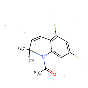 CC1(C)C=Cc2c(F)cc(F)cc2N1C(=O)C(F)(F)F